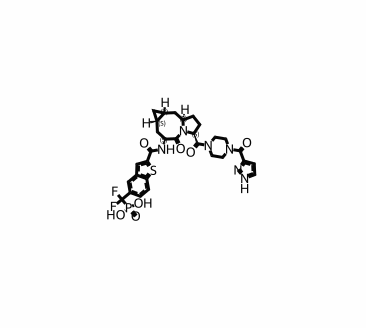 O=C(N[C@H]1C[C@@H]2C[C@@H]2C[C@H]2CC[C@@H](C(=O)N3CCN(C(=O)c4cc[nH]n4)CC3)N2C1=O)c1cc2cc(C(F)(F)P(=O)(O)O)ccc2s1